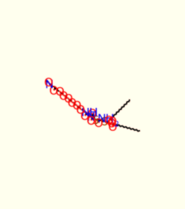 CCCCCCCCCCCCCCCC(=O)OCC(CSCC(N)C(=O)CSC1CC(=O)N(CCC(=O)NCCOCCOCCOCCOCCOCCOCCC(=O)CCC=NOCC)C1=O)OC(=O)CCCCCCCCCCCCCCC